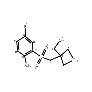 O=S(=O)(CC1(CO)COC1)c1cc(Br)ccc1C(F)(F)F